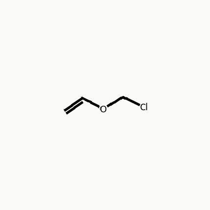 C=COCCl